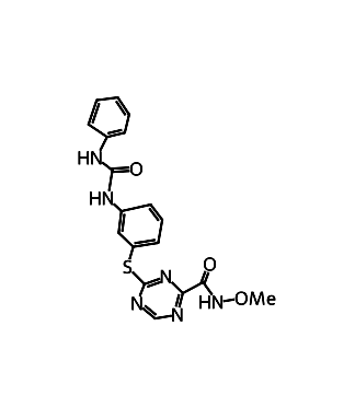 CONC(=O)c1ncnc(Sc2cccc(NC(=O)Nc3ccccc3)c2)n1